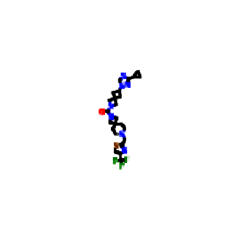 O=C(N1CC2(CCN(Cc3nc(C(F)(F)F)cs3)CC2)C1)N1CC2(CC(n3cnc(C4CC4)n3)C2)C1